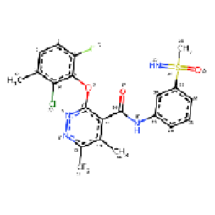 Cc1ccc(F)c(Oc2nnc(C(F)(F)F)c(C)c2C(=O)Nc2cccc(S(C)(=N)=O)c2)c1Cl